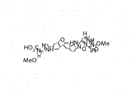 COC[C@H]1C[C@@H](c2ncc(-c3ccc4c(c3)COc3cc5c(ccc6nc([C@@H]7C[C@@H]8C[C@@H]8N7C(=O)[C@@H](NC(=O)OC)C(C)C)[nH]c65)cc3-4)[nH]2)N(C(=O)O)C1